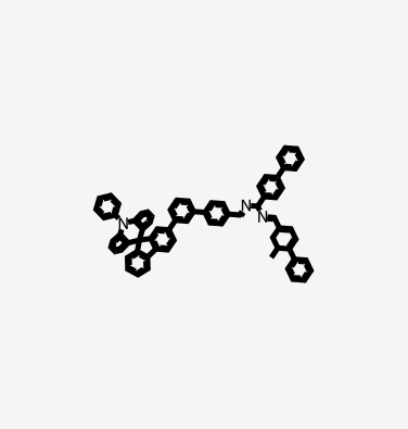 CC1CC(/C=N/C(/N=C/c2ccc(-c3cccc(-c4ccc5c(c4)C4(c6ccccc6-5)c5ccccc5N(c5ccccc5)c5ccccc54)c3)cc2)c2ccc(-c3ccccc3)cc2)=CC=C1c1ccccc1